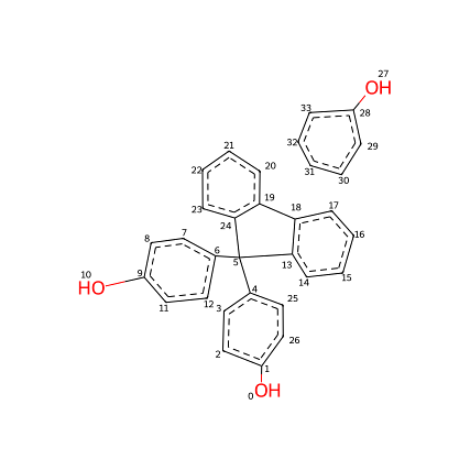 Oc1ccc(C2(c3ccc(O)cc3)c3ccccc3-c3ccccc32)cc1.Oc1ccccc1